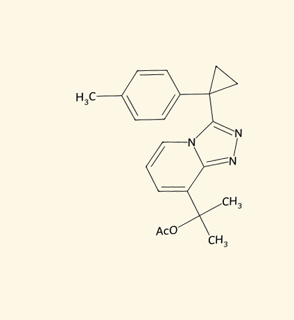 CC(=O)OC(C)(C)c1cccn2c(C3(c4ccc(C)cc4)CC3)nnc12